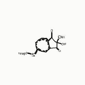 CCCCCCCSc1ccc2c(c1)C(=O)C(O)(O)C2=O